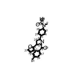 CN(c1ccc(C2=NN(C(=O)c3ccc(I)cc3)C(c3ccco3)C2)cc1)[SH](=O)=O